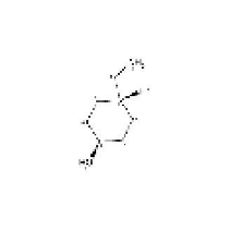 NC[C@]1(F)CC[C@@H](O)CC1